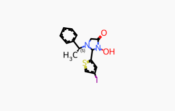 C[C@@H](c1ccccc1)N1CC(=O)N(O)C1c1cc(I)cs1